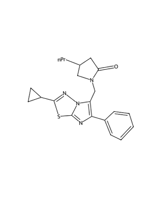 CCCC1CC(=O)N(Cc2c(-c3ccccc3)nc3sc(C4CC4)nn23)C1